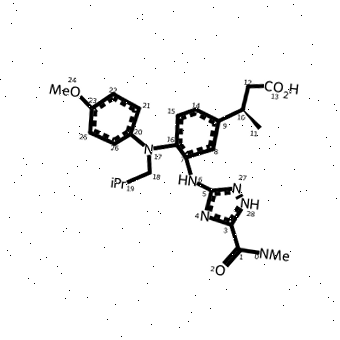 CNC(=O)c1nc(Nc2cc([C@H](C)CC(=O)O)ccc2N(CC(C)C)c2ccc(OC)cc2)n[nH]1